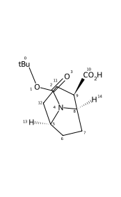 CC(C)(C)OC(=O)N1[C@H]2CC[C@@H]1[C@H](C(=O)O)CC2